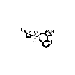 O=S(=O)(c1ccc(Cl)s1)N1Cc2cccnc2C2CNCC2C1